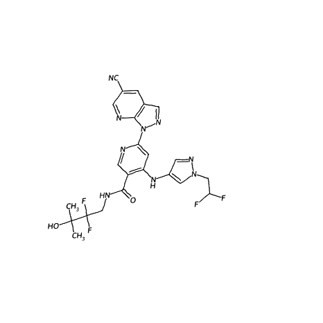 CC(C)(O)C(F)(F)CNC(=O)c1cnc(-n2ncc3cc(C#N)cnc32)cc1Nc1cnn(CC(F)F)c1